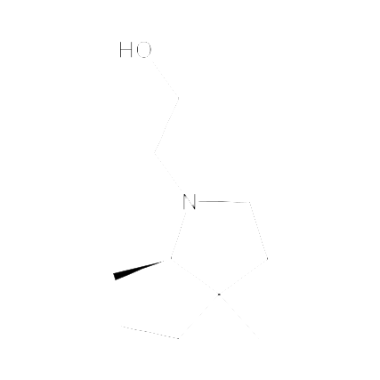 CCC1(C)CCN(CCO)[C@@H]1C